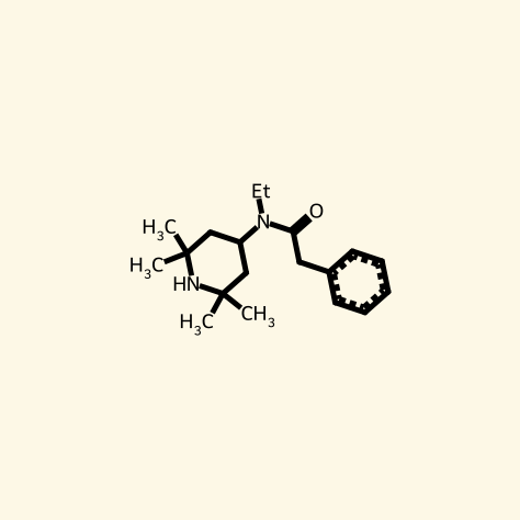 CCN(C(=O)Cc1ccccc1)C1CC(C)(C)NC(C)(C)C1